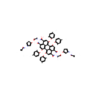 C=C(C)C(=O)NC1=CCC(OC(=O)C(C(C)C)N2C(=O)c3cc(Oc4ccc(C(C)(C)C)cc4C)c4c5c(Oc6ccc(C(C)(C)C)cc6C)cc6c7c(cc(Oc8ccc(C(C)(C)C)cc8C)c(c8c(Oc9ccc(C(C)(C)C)cc9C)cc(c3c48)C2=O)c75)C(=O)N(C(C(=O)OC2=CC(NC(=O)C(=C)C)=CC2)C(C)C)C6=O)=C1